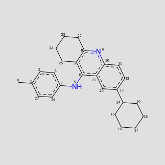 Cc1ccc(Nc2c3c(nc4ccc(C5CCCCC5)cc24)CCCC3)cc1